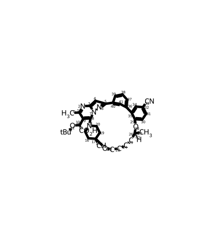 Cc1nc2cc3nn2c(c1[C@H](OC(C)(C)C)C(=O)O)N1CCC(C)(CC1)OCCCC[C@H](C)Oc1ccc(C#N)cc1-c1cccc-3c1